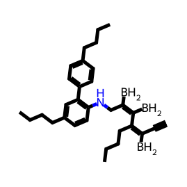 B/C(C#C)=C(CCCC)/C(B)=C(/B)CNc1ccc(CCCC)cc1-c1ccc(CCCC)cc1